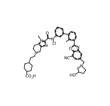 Cc1c(-c2cccc(N(Cl)C(=O)c3nc4c(n3C)CCN(CCC3CCC(C(=O)O)CC3)C4)c2)cccc1-c1nc2cc(CN3CCC(O)C3)cc(C#N)c2o1